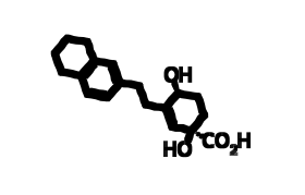 O=C(O)[C@]1(O)C=C(CCc2ccc3c(c2)CCCC3)[C@@H](O)CC1